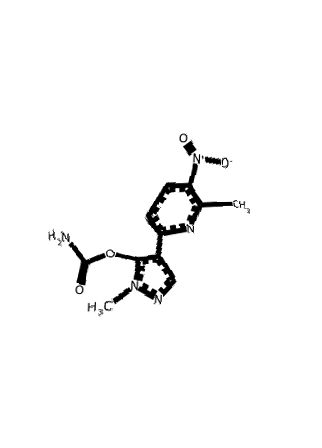 Cc1nc(-c2cnn(C)c2OC(N)=O)ccc1[N+](=O)[O-]